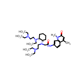 Cc1cc(=O)n(C)c2cc(NC(=O)CN(CCN(CC(=O)O)CC(=O)O)[C@H]3CCCC[C@@H]3N(CCN(CC(=O)O)CC(=O)O)CC(=O)O)ccc12